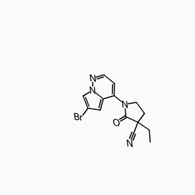 CCC1(C#N)CCN(c2ccnn3cc(Br)cc23)C1=O